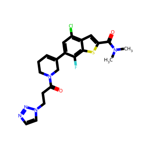 CN(C)C(=O)c1cc2c(Cl)cc(C3=CCCN(C(=O)CCn4ccnn4)C3)c(F)c2s1